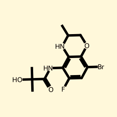 CC1COc2c(Br)cc(F)c(NC(=O)C(C)(C)O)c2N1